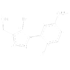 COc1ccc(F)c(-c2noc(CO)c2Br)c1